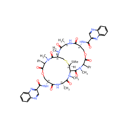 CS[C@@H]1SC[C@H]2C(=O)N(C)C(C(C)C)C(=O)OC[C@@H](NC(=O)c3cnc4ccccc4n3)C(=O)N[C@@H](C)C(=O)N(C)C1C(=O)N(C)C(C(C)C)C(=O)OC[C@@H](NC(=O)c1cnc3ccccc3n1)C(=O)N[C@@H](C)C(=O)N2C